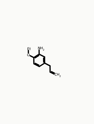 C=CCc1ccc(OCC)c(N)c1